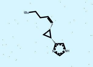 CC(C)(C)CC/C=C\[C@H]1C[C@H]1c1c[nH]cn1